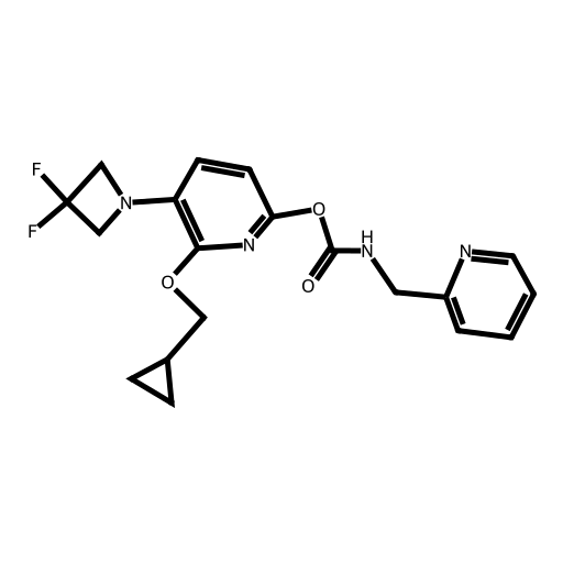 O=C(NCc1ccccn1)Oc1ccc(N2CC(F)(F)C2)c(OCC2CC2)n1